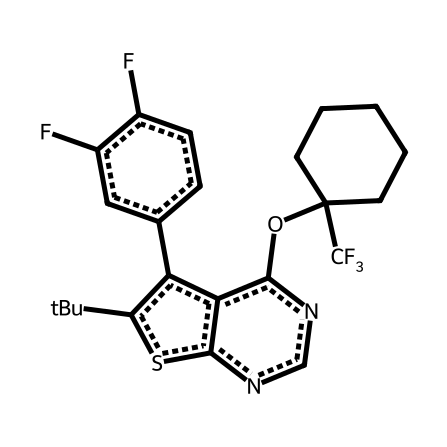 CC(C)(C)c1sc2ncnc(OC3(C(F)(F)F)CCCCC3)c2c1-c1ccc(F)c(F)c1